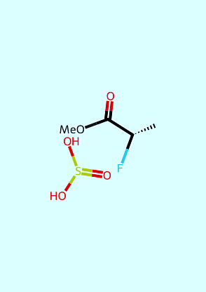 COC(=O)[C@H](C)F.O=S(O)O